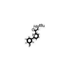 CC(C)(C)NCC(=O)c1cccc(-c2cccc(F)c2)n1